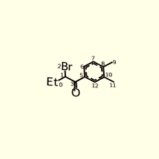 CCC(Br)C(=O)c1ccc(C)c(C)c1